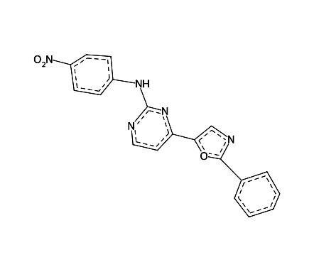 O=[N+]([O-])c1ccc(Nc2nccc(-c3cnc(-c4ccccc4)o3)n2)cc1